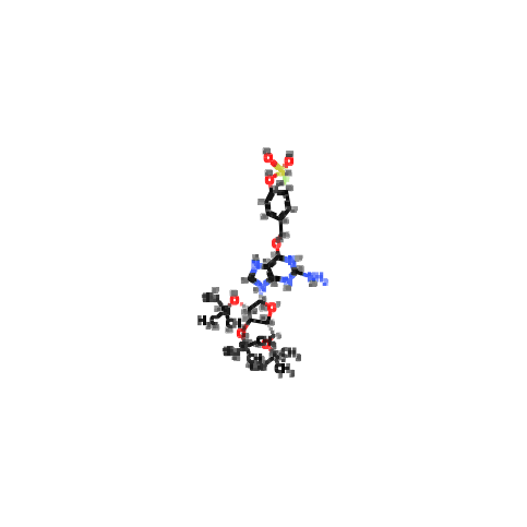 CC(C)(C)[Si](C)(C)OC[C@H]1O[C@@H](n2cnc3c(OCc4ccc(OS(=O)(=O)F)cc4)nc(N)nc32)[C@@H](O[Si](C)(C)C(C)(C)C)C1O[Si](C)(C)C(C)(C)C